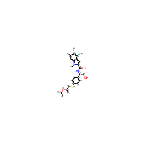 Cc1cc2c(cc(C(=O)N[C@H](CO)c3ccc(SCC(=O)OC(C)C)cc3)n2C)c(F)c1F